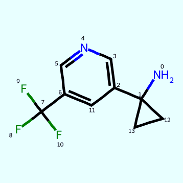 NC1(c2cncc(C(F)(F)F)c2)CC1